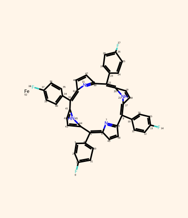 Fc1ccc(-c2c3nc(c(-c4ccc(F)cc4)c4ccc([nH]4)c(-c4ccc(F)cc4)c4nc(c(-c5ccc(F)cc5)c5ccc2[nH]5)C=C4)C=C3)cc1.[Fe]